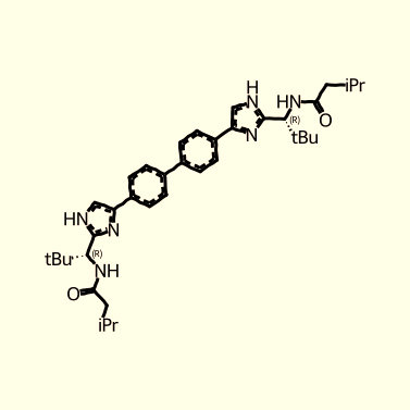 CC(C)CC(=O)N[C@@H](c1nc(-c2ccc(-c3ccc(-c4c[nH]c([C@H](NC(=O)CC(C)C)C(C)(C)C)n4)cc3)cc2)c[nH]1)C(C)(C)C